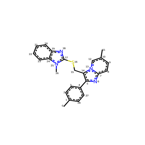 Cc1ccc(-c2nc3ccc(C)cn3c2CSc2nc3ccccc3n2C)cc1